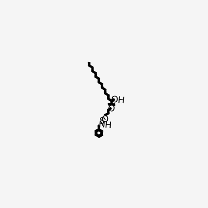 CCCCCCCCCCCCCCC(O)C(C)(C)OCCCOSNCc1ccccc1